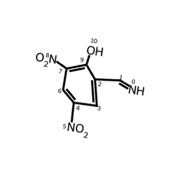 N=Cc1cc([N+](=O)[O-])cc([N+](=O)[O-])c1O